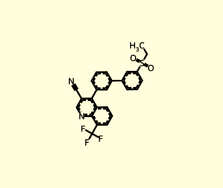 CCS(=O)(=O)c1cccc(-c2cccc(-c3c(C#N)cnc4c(C(F)(F)F)cccc34)c2)c1